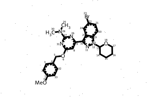 COc1ccc(COc2cc(-c3nn(C4CCCCO4)c4ccc(Br)cc34)nc(N(C)C)n2)cc1